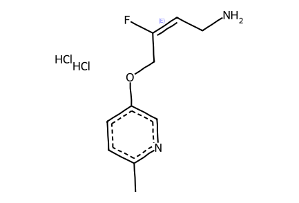 Cc1ccc(OC/C(F)=C\CN)cn1.Cl.Cl